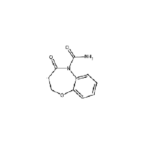 NC(=O)N1C(=O)[CH]COc2ccccc21